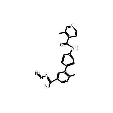 Cc1cnccc1C(=O)Nc1ccc(-c2cc([C]([Na+])=NN=[N-])ccc2C)cc1